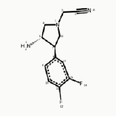 N#CCN1C[C@@H](N)[C@H](c2ccc(F)c(F)c2)C1